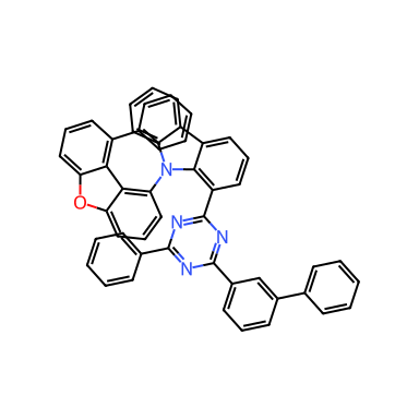 c1ccc(-c2cccc(-c3nc(-c4ccccc4)nc(-c4cccc5c6ccccc6n(-c6cccc7oc8cccc(-c9ccccc9)c8c67)c45)n3)c2)cc1